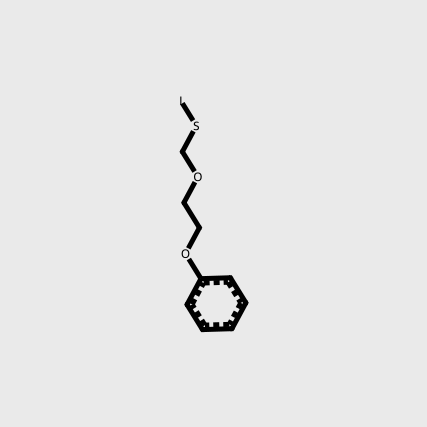 ISCOCCOc1ccccc1